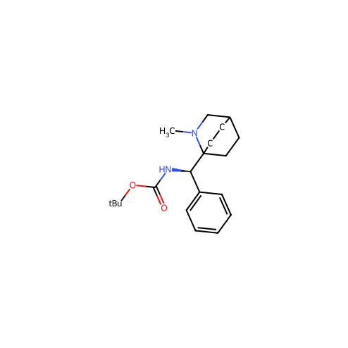 CN1CC2CCC1([C@H](NC(=O)OC(C)(C)C)c1ccccc1)CC2